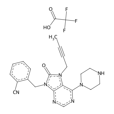 CC#CCn1c(=O)n(Cc2ccccc2C#N)c2ncnc(N3CCNCC3)c21.O=C(O)C(F)(F)F